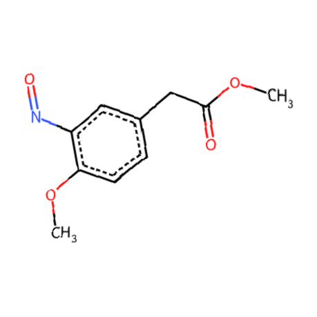 COC(=O)Cc1ccc(OC)c(N=O)c1